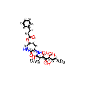 COC(C(=O)NC1CCC(OC(=O)CCc2ccccc2)CNC1=O)C(O)C(O)C(O)C=CC(C)(C)C